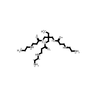 CCC(COC(=O)CCNCCN)(COC(=O)CCNCCN)COC(=O)CCNCCN